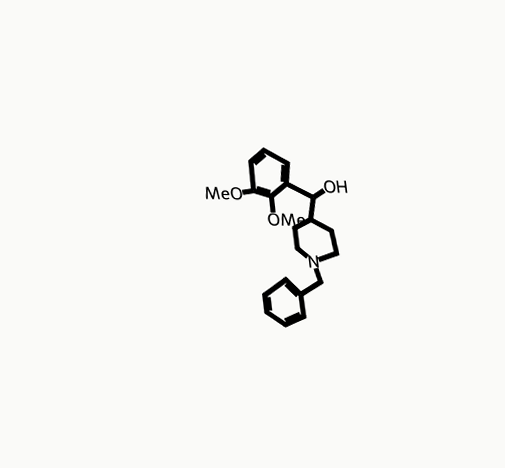 COc1cccc(C(O)C2CCN(Cc3ccccc3)CC2)c1OC